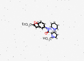 CCOC(=O)c1cc2cc(NC(=O)[C@@H]3[C@H](N4CCCCC4)CCN3C(=O)O)ccc2o1